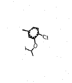 Cc1ccc(Cl)c(OC(C)I)c1